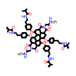 C=C(C)C(=O)NCCc1ccc(Oc2cc3c4c(cc(Oc5ccc(CCNC(=O)C(=C)C)cc5)c5c6c(Oc7ccc(CCNC(=O)C(=C)C)cc7)cc7c8c(cc(Oc9ccc(CCNC(=O)C(=C)C)cc9)c(c2c45)c86)C(=O)N(CC(=O)NCCC)C7=O)C(=O)N(CC(=O)NCCC)C3=O)cc1